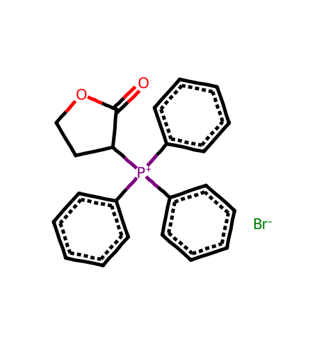 O=C1OCCC1[P+](c1ccccc1)(c1ccccc1)c1ccccc1.[Br-]